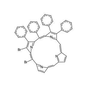 BrC1=C2N=C(C(c3ccccc3)=C2Br)C(c2ccccc2)=C2N=C(C=C3C=CC(=N3)C=C3C=CC1=N3)C(c1ccccc1)=C2c1ccccc1